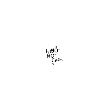 [Ce+3].[OH-].[OH-].[OH-]